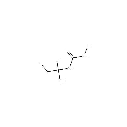 CCNC(=O)NC(C)(C)CO